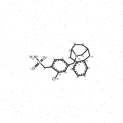 NS(=O)(=O)Cc1ccc(CN2CC3CCC2Cc2ccccc2C3)cc1Cl